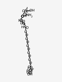 CCCN(OCCO)C(=O)C1=Cc2ccc(-c3cncc(S(=O)(=O)N4CC(CNC(=O)CCOCCOCCOCCOCCOCCOCCOCCOCCOCCOCCC(=O)Oc5c(F)c(F)c(S(=O)(=O)O)c(F)c5F)C4)c3)cc2N=C(N)C1